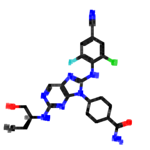 CC[C@@H](CO)Nc1ncc2nc(Nc3c(F)cc(C#N)cc3Cl)n(C3CCC(C(N)=O)CC3)c2n1